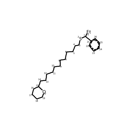 CCC(SCCCCCCCCCCCCC1CCCCO1)c1ccccc1